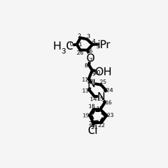 CC1CCC(C(C)C)C(OCC(O)CN2CCN(Cc3ccc(Cl)cc3)CC2)C1